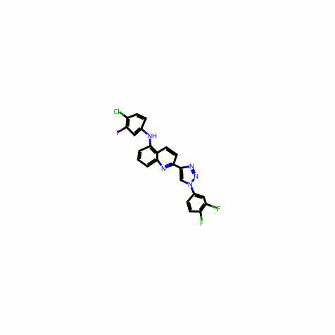 Fc1ccc(-n2cc(-c3ccc4c(Nc5ccc(Cl)c(I)c5)cccc4n3)nn2)cc1F